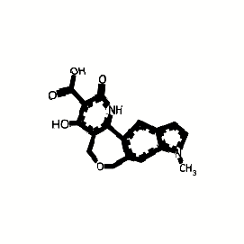 Cn1ccc2cc3c(cc21)COCc1c-3[nH]c(=O)c(C(=O)O)c1O